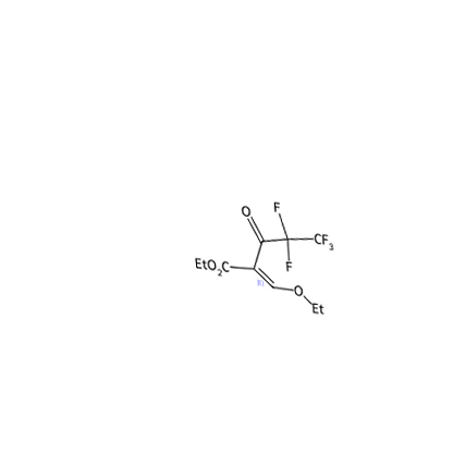 CCO/C=C(/C(=O)OCC)C(=O)C(F)(F)C(F)(F)F